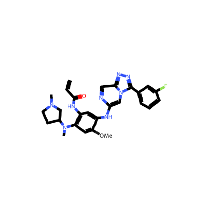 C=CC(=O)Nc1cc(Nc2cn3c(-c4cccc(F)c4)nnc3cn2)c(OC)cc1N(C)C1CCN(C)C1